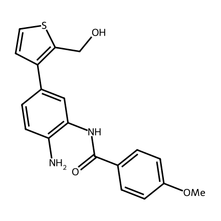 COc1ccc(C(=O)Nc2cc(-c3ccsc3CO)ccc2N)cc1